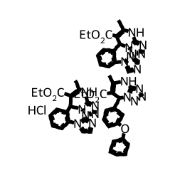 CCOC(=O)C1=C(C)Nc2nnnn2C1c1cccc(Oc2ccccc2)c1.CCOC(=O)C1=C(C)Nc2nnnn2C1c1ccccc1-n1ccnc1.CCOC(=O)C1=C(C)Nc2nnnn2C1c1ccccc1-n1cncn1.Cl